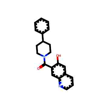 O=C(c1cc2ncccc2cc1O)N1CCC(c2ccccc2)CC1